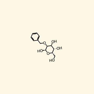 OC[C@H]1O[C@@H](O)[C@@H](OCc2ccccc2)[C@@H](O)[C@@H]1O